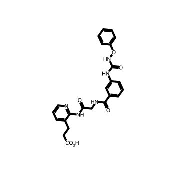 O=C(O)CCc1cccnc1NC(=O)CNC(=O)c1cccc(NC(=O)NOc2ccccc2)c1